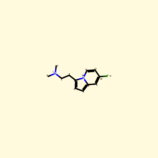 CN(C)CCc1ccc2cc(F)ccn12